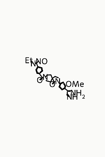 CC/N=C(\N=O)c1ccc(C(=O)N2CCC3(CC2)CCN(c2ccc(/C(C=N)=C/N)c(OC)c2)C3=O)cc1